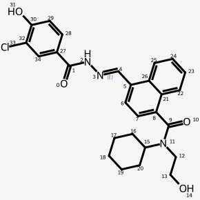 O=C(N/N=C/c1ccc(C(=O)N(CCO)C2CCCCC2)c2ccccc12)c1ccc(O)c(Cl)c1